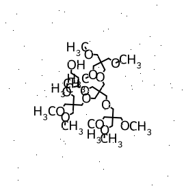 COCC(COC)(COC)COCC(COCC(COC)(COC)COC)(COCC(COC)(COC)COC)COC(C)CCO